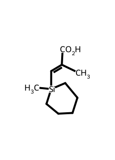 CC(=C[Si]1(C)CCCCC1)C(=O)O